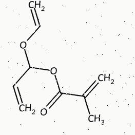 C=COC(C=C)OC(=O)C(=C)C